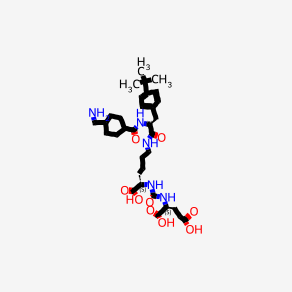 CC(C)(C)c1ccc(C[C@H](NC(=O)C2CCC(CN)CC2)C(=O)NCCCC[C@H](NC(=O)N[C@@H](CCC(=O)O)C(=O)O)C(=O)O)cc1